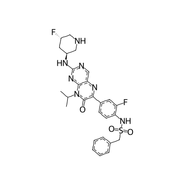 CC(C)n1c(=O)c(-c2ccc(NS(=O)(=O)Cc3ccccc3)c(F)c2)nc2cnc(N[C@@H]3CNC[C@@H](F)C3)nc21